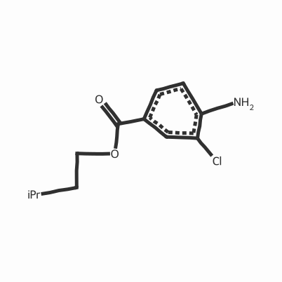 CC(C)CCOC(=O)c1ccc(N)c(Cl)c1